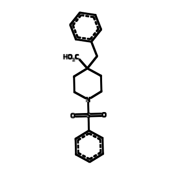 O=C(O)C1(Cc2ccccc2)CCN(S(=O)(=O)c2ccccc2)CC1